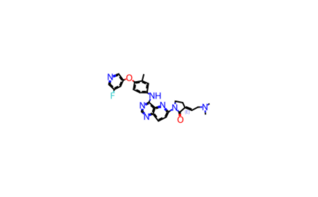 Cc1cc(Nc2ncnc3ccc(N4CC/C(=C\CN(C)C)C4=O)nc23)ccc1Oc1cncc(F)c1